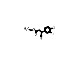 CCOC(=O)CC(C#N)c1ccc(Cl)c(Cl)c1